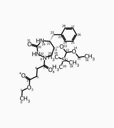 CCOC(=O)CCC(=O)N1C[C@@H](OC(OCC)[Si](C)(C)C)[C@@H](Cc2ccccc2)NC(=O)N1